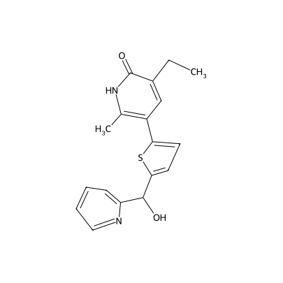 CCc1cc(-c2ccc(C(O)c3ccccn3)s2)c(C)[nH]c1=O